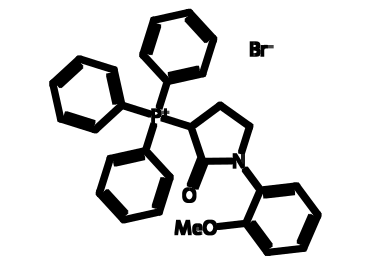 COc1ccccc1N1CCC([P+](c2ccccc2)(c2ccccc2)c2ccccc2)C1=O.[Br-]